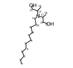 CCCCCCCCCCCCN(C(C)CO)C(C)CO